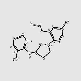 O=CCc1cc(Br)ccc1N1CCC(Oc2ncccc2Cl)C1